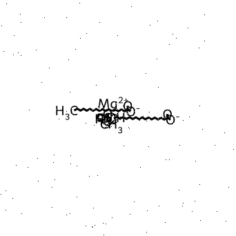 CCCCCCCCCCCCCCCCCC(=O)[O-].CCCCCCCCCCCCCCCCCC(=O)[O-].Cc1ccccc1S(=O)(=O)O.[Mg+2]